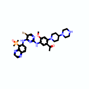 COc1cc(N2CCC(N3CCNCC3)CC2)c(C(C)=O)cc1Nc1ncc(Br)c(Nc2ccc3nccnc3c2P(C)(C)=O)n1